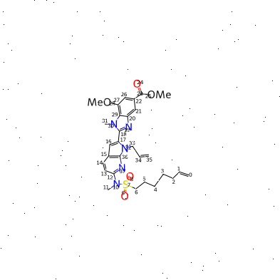 C=CCCCCCS(=O)(=O)N(C)c1ccc2cc(-c3nc4cc(C(=O)OC)cc(OC)c4n3C)n(CC=C)c2n1